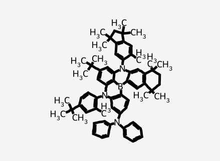 Cc1cc(C(C)(C)C)ccc1N1c2cc(N(c3ccccc3)c3ccccc3)ccc2B2c3cc4c(cc3N(c3cc5c(cc3C)C(C)(C)CC5(C)C)c3cc(C(C)(C)C)cc1c32)C(C)(C)CCC4(C)C